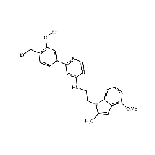 CCOc1cc(-c2cc(NCCn3c(C)cc4c(OC)cccc43)ncn2)ccc1CO